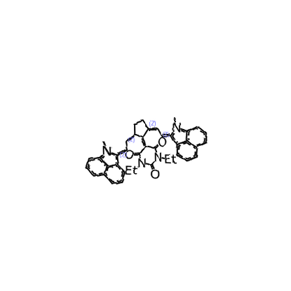 CCN1C(=O)C(=C2/C(=C\C=c3\c4cccc5cccc(c54)n3C)CC/C2=C/C=c2/c3cccc4cccc(c43)n2C)C(=O)N(CC)C1=O